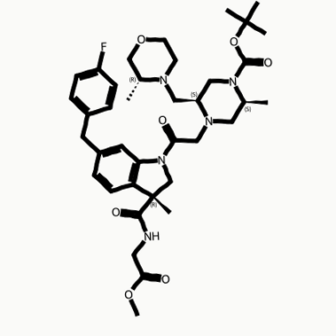 COC(=O)CNC(=O)[C@@]1(C)CN(C(=O)CN2C[C@H](C)N(C(=O)OC(C)(C)C)C[C@@H]2CN2CCOC[C@H]2C)c2cc(Cc3ccc(F)cc3)ccc21